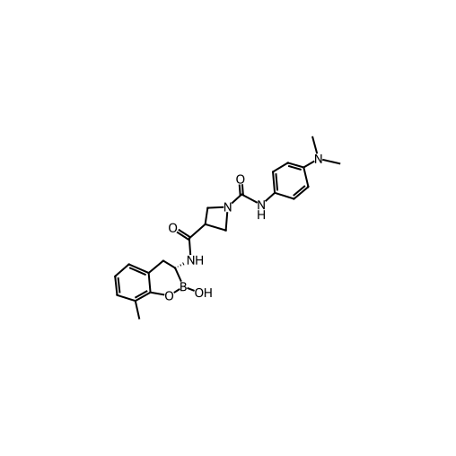 Cc1cccc2c1OB(O)[C@@H](NC(=O)C1CN(C(=O)Nc3ccc(N(C)C)cc3)C1)C2